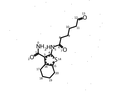 NC(=O)c1c(NC(=O)CCCCC=O)sc2c1CCCC2